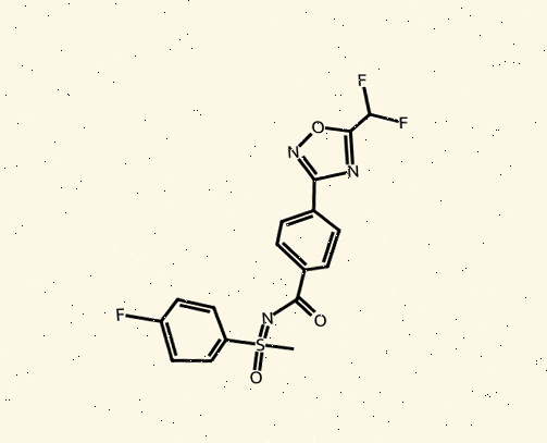 CS(=O)(=NC(=O)c1ccc(-c2noc(C(F)F)n2)cc1)c1ccc(F)cc1